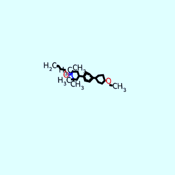 C=CCCON1C(C)(C)CC(c2ccc(C3CCC(OCC)CC3)cc2)CC1(C)C